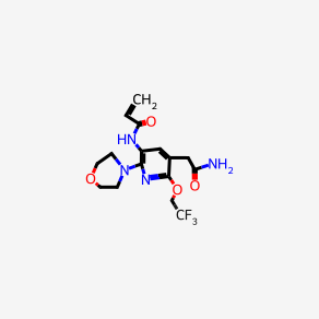 C=CC(=O)Nc1cc(CC(N)=O)c(OCC(F)(F)F)nc1N1CCOCC1